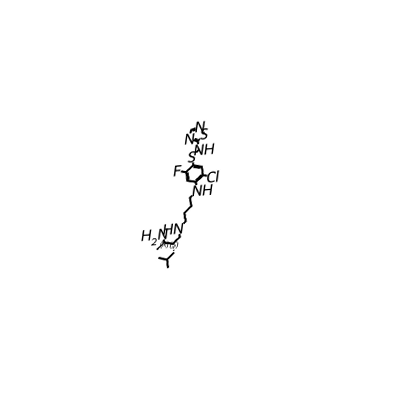 CC(C)C[C@@H](CNCCCCNc1cc(F)c(SNc2ncns2)cc1Cl)[C@@H](C)N